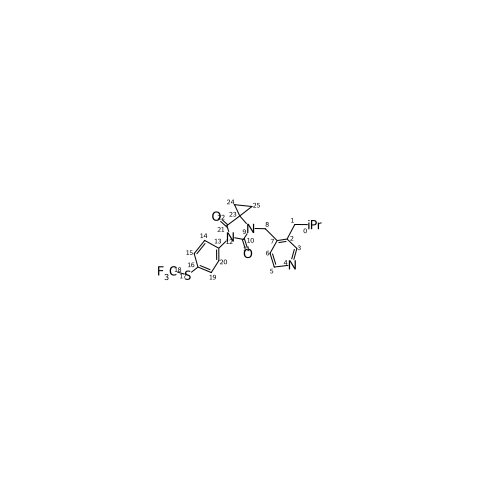 CC(C)Cc1cnccc1CN1C(=O)N(c2ccc(SC(F)(F)F)cc2)C(=O)C12CC2